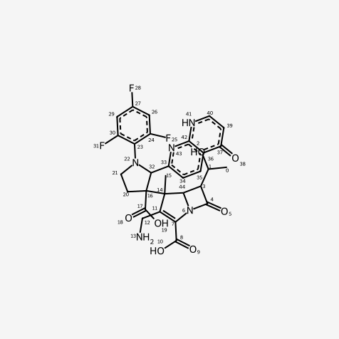 CC(O)C1C(=O)N2C(C(=O)O)=C(CN)C(C)(C3(C(=O)O)CCN(c4c(F)cc(F)cc4F)C3c3ccc4c(=O)cc[nH]c4n3)C12